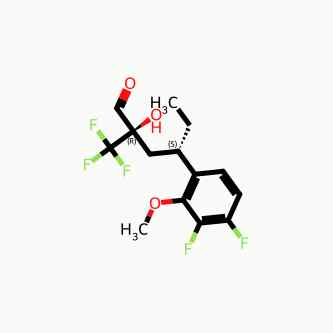 CC[C@@H](C[C@@](O)(C=O)C(F)(F)F)c1ccc(F)c(F)c1OC